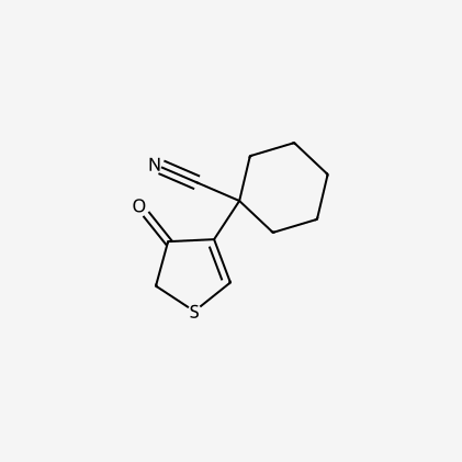 N#CC1(C2=CSCC2=O)CCCCC1